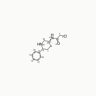 O=C(CCl)N[C@H]1CCC(c2ccccc2)NC1